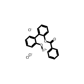 O=C(Oc1ccccc1-c1ccccc1[O][Ti+3])c1ccccc1.[Cl-].[Cl-].[Cl-]